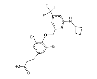 O=C(O)CCc1cc(Br)c(OCc2cc(NC3CCC3)cc(C(F)(F)F)c2)c(Br)c1